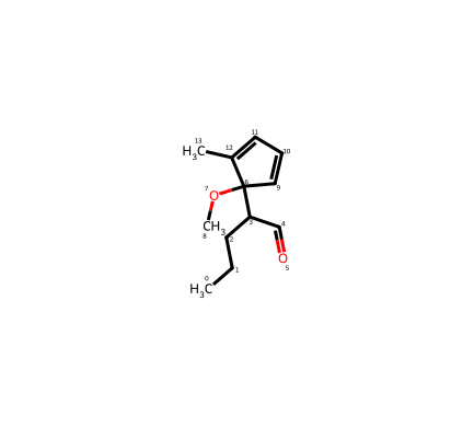 CCCC(C=O)C1(OC)C=CC=C1C